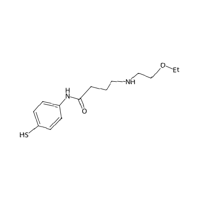 CCOCCNCCCC(=O)Nc1ccc(S)cc1